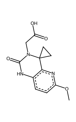 COc1ccc2c(n1)C1(CC1)N(CC(=O)O)C(=O)N2